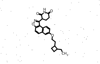 CCC1CCC1CCOc1ccc2c(ccc3onc(C4CCC(=O)NC4=O)c32)c1